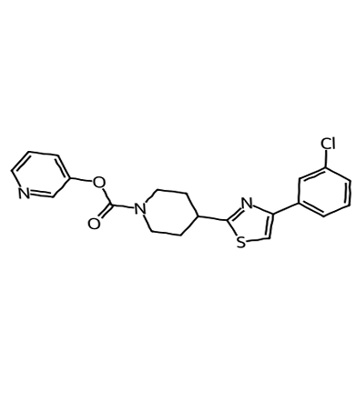 O=C(Oc1cccnc1)N1CCC(c2nc(-c3cccc(Cl)c3)cs2)CC1